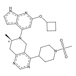 C[C@@H]1Cc2ncnc(C3CCN(S(C)(=O)=O)CC3)c2CN1c1cc(OC2CCC2)nc2[nH]ccc12